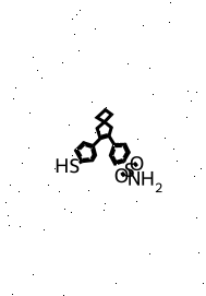 NS(=O)(=O)c1ccc(C2=C(c3ccc(S)cc3)CC3(CCC3)C2)cc1